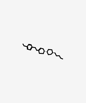 CCCCC[C@H]1CC[C@H](C2CC=C(CCc3ccc(CC)cc3)CC2)CC1